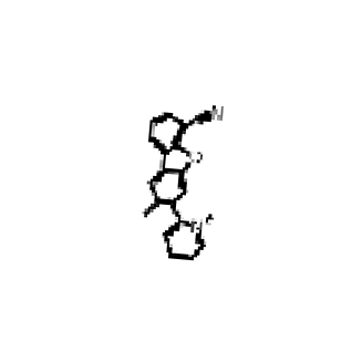 Cc1cc2c(cc1-c1cccc[n+]1C)oc1c(C#N)cccc12